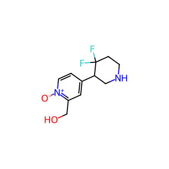 [O-][n+]1ccc(C2CNCCC2(F)F)cc1CO